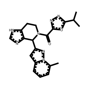 Cc1cccc2cc(C3c4nc[nH]c4CCN3C(=O)c3nnc(C(C)C)o3)nn12